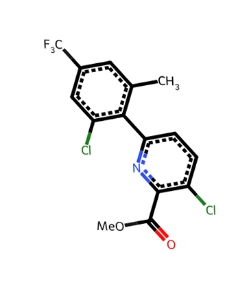 COC(=O)c1nc(-c2c(C)cc(C(F)(F)F)cc2Cl)ccc1Cl